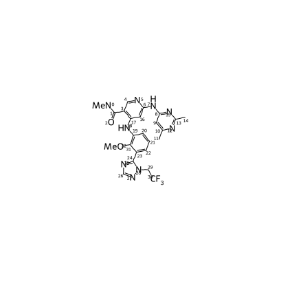 CNC(=O)c1cnc(Nc2cc(C)nc(C)n2)cc1Nc1cccc(-c2ncnn2CC(F)(F)F)c1OC